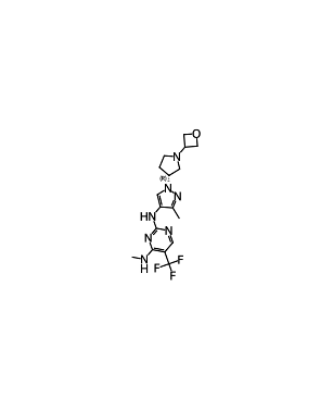 CNc1nc(Nc2cn([C@@H]3CCN(C4COC4)C3)nc2C)ncc1C(F)(F)F